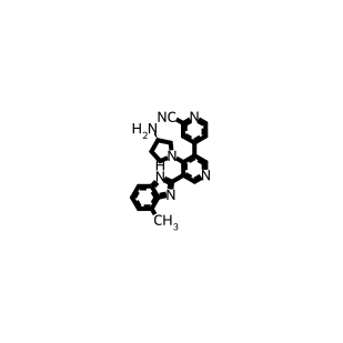 Cc1cccc2[nH]c(-c3cncc(-c4ccnc(C#N)c4)c3N3CC[C@H](N)C3)nc12